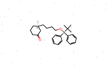 CC(C)(C)[Si](OCCCC[C@]1(C)CCCC(=O)C1)(c1ccccc1)c1ccccc1